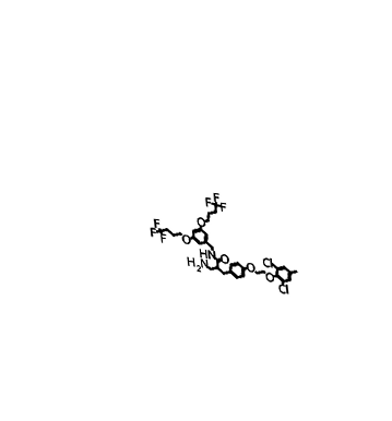 Cc1cc(Cl)c(OCCOc2ccc(CC(CN)C(=O)NCc3cc(OCCCC(F)(F)F)cc(OCCCC(F)(F)F)c3)cc2)c(Cl)c1